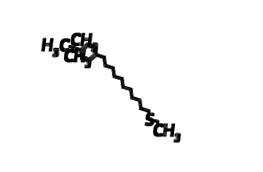 CCSCCCCCCCCCCCc1ccc(C(C)(C)C)cc1